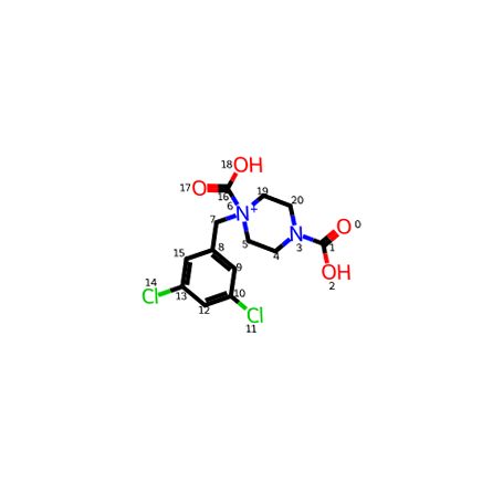 O=C(O)N1CC[N+](Cc2cc(Cl)cc(Cl)c2)(C(=O)O)CC1